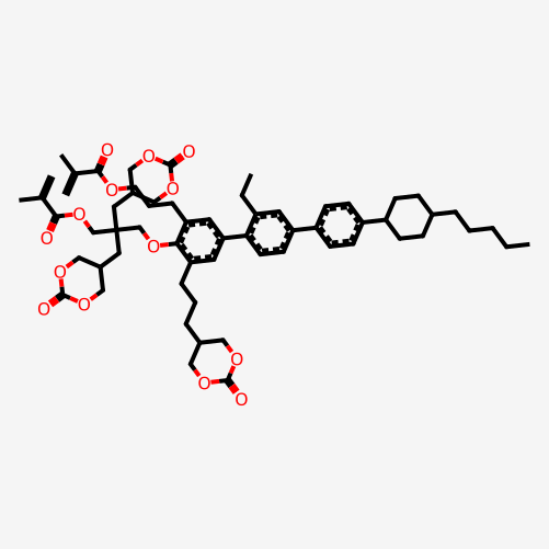 C=C(C)C(=O)OCCCc1cc(-c2ccc(-c3ccc(C4CCC(CCCCC)CC4)cc3)cc2CC)cc(CCCC2COC(=O)OC2)c1OCC(COC(=O)C(=C)C)(CC1COC(=O)OC1)CC1COC(=O)OC1